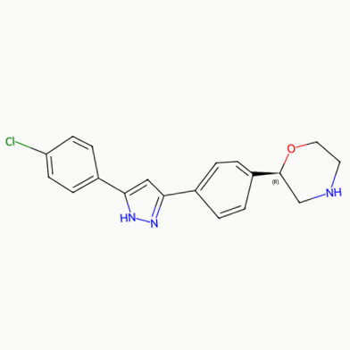 Clc1ccc(-c2cc(-c3ccc([C@@H]4CNCCO4)cc3)n[nH]2)cc1